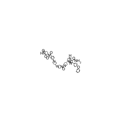 NC(=O)c1c(-c2ccc(Oc3ccccc3)cc2)nn2c1NCC[C@H]2C1CCN(C(=O)N2CCN(CC3CCN(c4ccc5c(c4)C(=O)N(C4CCC(=O)NC4=O)C5=O)CC3)CC2)CC1